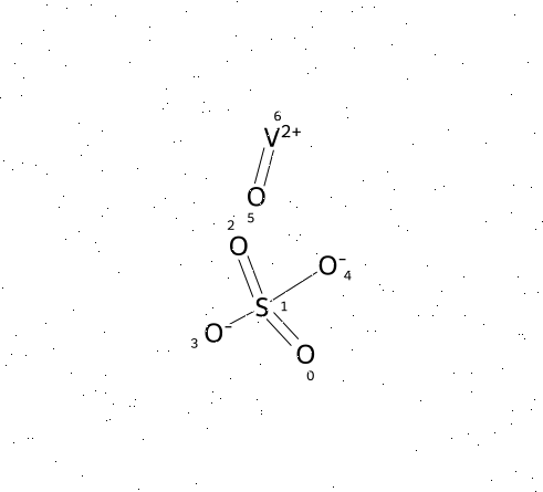 O=S(=O)([O-])[O-].[O]=[V+2]